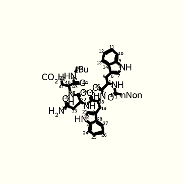 CCCCCCCCCC(=O)NC(Cc1c[nH]c2ccccc12)C(=O)NC(Cc1c[nH]c2ccccc12)C(=O)NC(CC(N)=O)C(=O)NC(CC(=O)O)C(=O)NC(C)(C)C